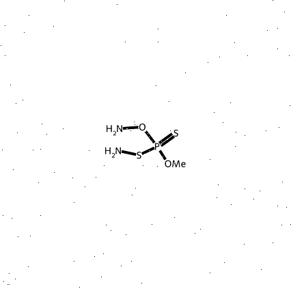 COP(=S)(ON)SN